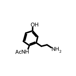 CC(=O)Nc1ccc(O)cc1CCN